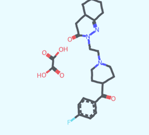 O=C(O)C(=O)O.O=C(c1ccc(F)cc1)C1CCN(CCN2N=C3CCCCC3CC2=O)CC1